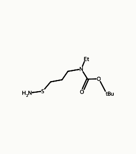 CCN(CCCSN)C(=O)OC(C)(C)C